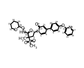 CC(CCn1ccc(-c2ccc(Oc3ccccn3)cc2)cc1=O)(C(=O)NOC1CCCCO1)S(C)(=O)=O